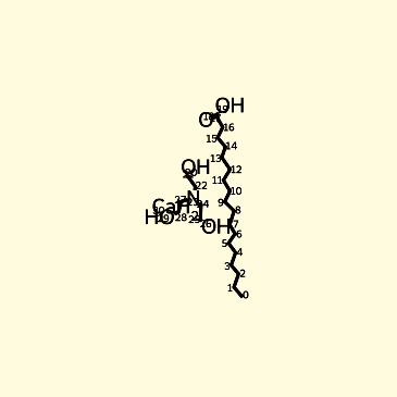 CCCCCCCCCCCCCCCCCC(=O)O.OCCN(CCO)CCO.[CaH2]